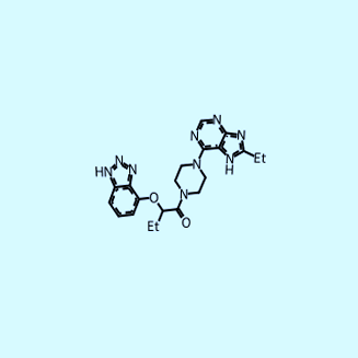 CCc1nc2ncnc(N3CCN(C(=O)C(CC)Oc4cccc5[nH]nnc45)CC3)c2[nH]1